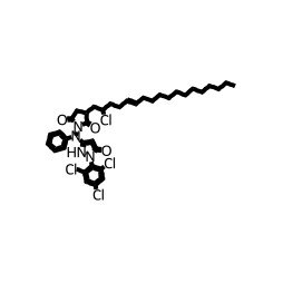 CCCCCCCCCCCCC=CCCC(Cl)CC1CC(=O)N(N(c2ccccc2)c2cc(=O)n(-c3c(Cl)cc(Cl)cc3Cl)[nH]2)C1=O